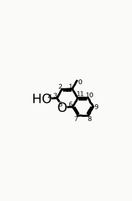 CC1=CC(O)Oc2ccccc21